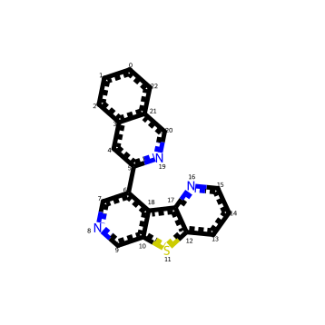 c1ccc2cc(-c3cncc4sc5cccnc5c34)ncc2c1